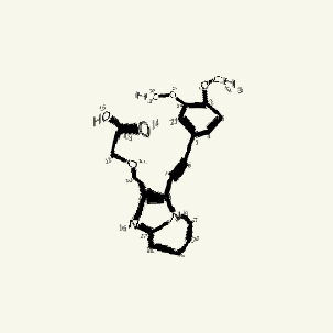 COc1ccc(C#Cc2c(COCC(=O)O)nc3ccccn23)cc1OC